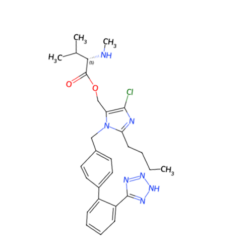 CCCCc1nc(Cl)c(COC(=O)[C@@H](NC)C(C)C)n1Cc1ccc(-c2ccccc2-c2nn[nH]n2)cc1